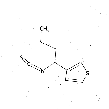 CCCC(N=C=S)c1ccsc1